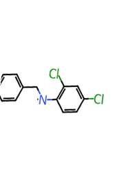 Clc1ccc([N]Cc2ccccc2)c(Cl)c1